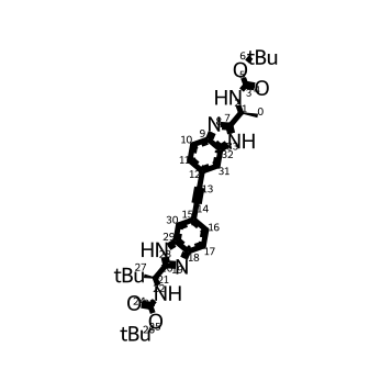 C[C@H](NC(=O)OC(C)(C)C)c1nc2ccc(C#Cc3ccc4nc([C@@H](NC(=O)OC(C)(C)C)C(C)(C)C)[nH]c4c3)cc2[nH]1